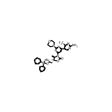 C=C1[C@@H](CCO[Si](c2ccccc2)(c2ccccc2)C(C)(C)C)OC(=O)N1c1cc(-c2cnc(N)nc2C(F)(F)F)nc(N2CCOCC2)n1